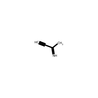 C#CC(C)=N